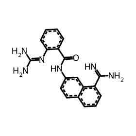 N=C(N)c1cccc2ccc(NC(=O)c3ccccc3N=C(N)N)cc12